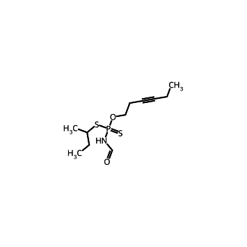 CCC#CCCOP(=S)(NC=O)SC(C)CC